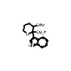 CC(=O)OC1CCCOC1(C(=O)O)c1c[nH]c2ccccc12